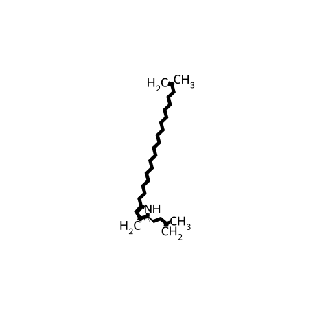 C=C(C)CCCCCCCCCCCCCCCCCCC1=CC(=C)[C@H](CCC(=C)C)N1